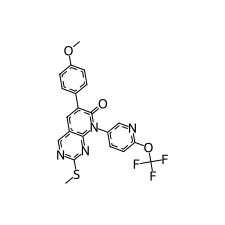 COc1ccc(-c2cc3cnc(SC)nc3n(-c3ccc(OC(F)(F)F)nc3)c2=O)cc1